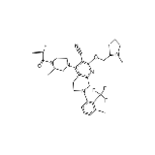 C=C(F)C(=O)N1CCN(c2c(C#N)c(OCC3CCCN3C)nc3c2CCN(c2cccc(C)c2C(F)(F)F)C3)CC1C